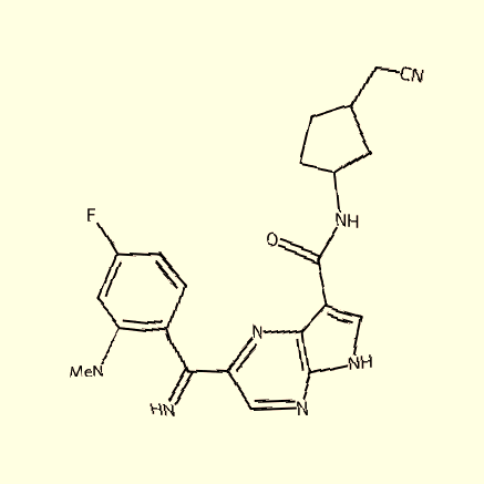 CNc1cc(F)ccc1C(=N)c1cnc2[nH]cc(C(=O)NC3CCC(CC#N)C3)c2n1